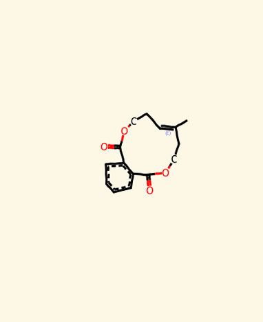 C/C1=C\CCOC(=O)c2ccccc2C(=O)OCC1